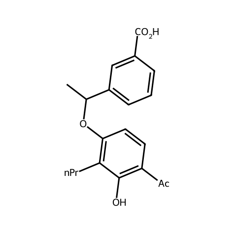 CCCc1c(OC(C)c2cccc(C(=O)O)c2)ccc(C(C)=O)c1O